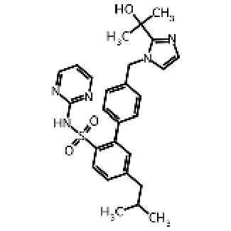 CC(C)Cc1ccc(S(=O)(=O)Nc2ncccn2)c(-c2ccc(Cn3ccnc3C(C)(C)O)cc2)c1